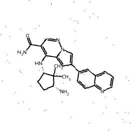 CC1(C)[C@H](N)CC[C@@H]1Nc1c(C(N)=O)cnn2cc(-c3ccc4ncccc4c3)cc12